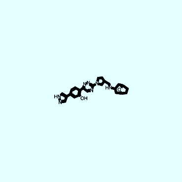 Oc1cc(-c2cn[nH]c2)ccc1-c1cnc(N2CCC(CNC3CC4CCC(C3)O4)C2)nn1